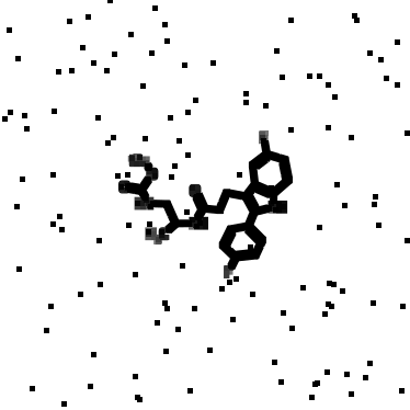 CC(CNC(=O)OC(C)(C)C)NC(=O)CCc1c(-c2ccc(F)cc2)[nH]c2ccc(F)cc12